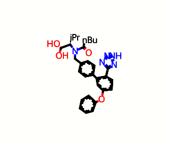 CCCCC(=O)N(Cc1ccc(-c2cc(Oc3ccccc3)ccc2-c2nn[nH]n2)cc1)[C@@H](C(C)C)C(O)O